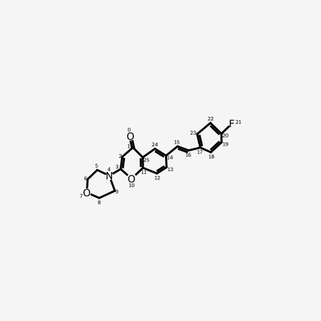 O=c1cc(N2CCOCC2)oc2ccc(/C=C/c3ccc(F)cc3)cc12